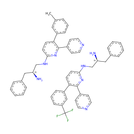 Cc1cccc(-c2ccc(NC[C@@H](N)Cc3ccccc3)nc2-c2ccncc2)c1.N[C@H](CNc1ccc(-c2cccc(C(F)(F)F)c2)c(-c2ccncc2)n1)Cc1ccccc1